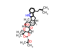 CC(C)=CCc1cccc2[nH]c3c(c12)C[C@@H]1CC[C@@]2(O)[C@@]45O[C@@H]4[C@@H]4O[C@H](C6OC6(C)C)OC(C)(C)[C@H]4O[C@H]5CC[C@]2(C)[C@@]31C